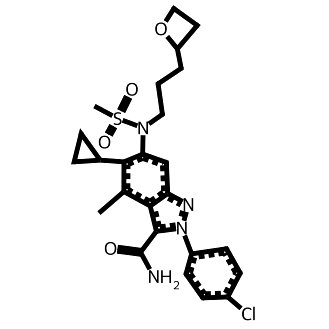 Cc1c(C2CC2)c(N(CCCC2CCO2)S(C)(=O)=O)cc2nn(-c3ccc(Cl)cc3)c(C(N)=O)c12